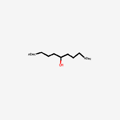 CCCCCCCCCCCCCC(O)CCCCCCCCCCCCC